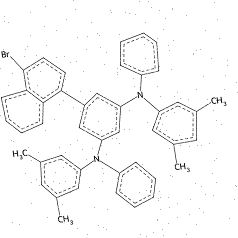 Cc1cc(C)cc(N(c2ccccc2)c2cc(-c3ccc(Br)c4ccccc34)cc(N(c3ccccc3)c3cc(C)cc(C)c3)c2)c1